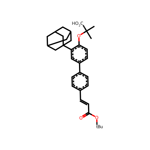 CC(C)(C)OC(=O)/C=C/c1ccc(-c2ccc(OC(C)(C)C(=O)O)c(C34CC5CC(CC(C5)C3)C4)c2)cc1